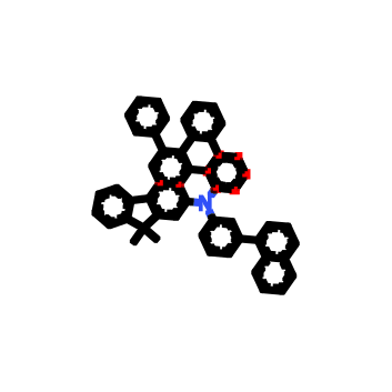 CC1(C)c2ccccc2-c2ccc(N(c3cccc(-c4cccc5ccccc45)c3)c3ccccc3-c3cccc(-c4ccccc4)c3-c3ccccc3-c3ccccc3)cc21